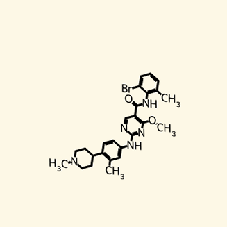 COc1nc(Nc2ccc(C3CCN(C)CC3)c(C)c2)ncc1C(=O)Nc1c(C)cccc1Br